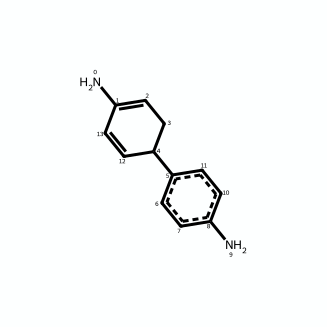 NC1=CCC(c2ccc(N)cc2)C=C1